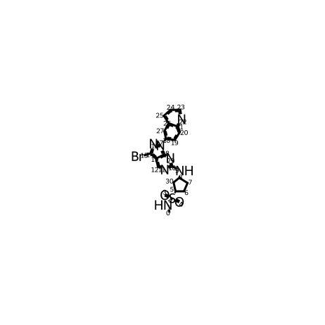 CNS(=O)(=O)[C@@H]1CC[C@@H](Nc2ncc3c(Br)nn(-c4ccc5ncccc5c4)c3n2)C1